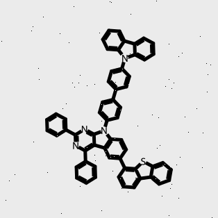 c1ccc(-c2nc(-c3ccccc3)c3c4cc(-c5cccc6c5sc5ccccc56)ccc4n(-c4ccc(-c5ccc(-n6c7ccccc7c7ccccc76)cc5)cc4)c3n2)cc1